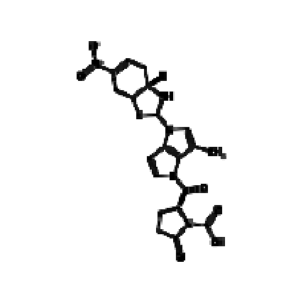 Cc1cn(C2N[C@H]3CC=C([N+](=O)[O-])CC3S2)c2ccn(C(=O)[C@@H]3CCC(=O)N3C(=O)O)c12